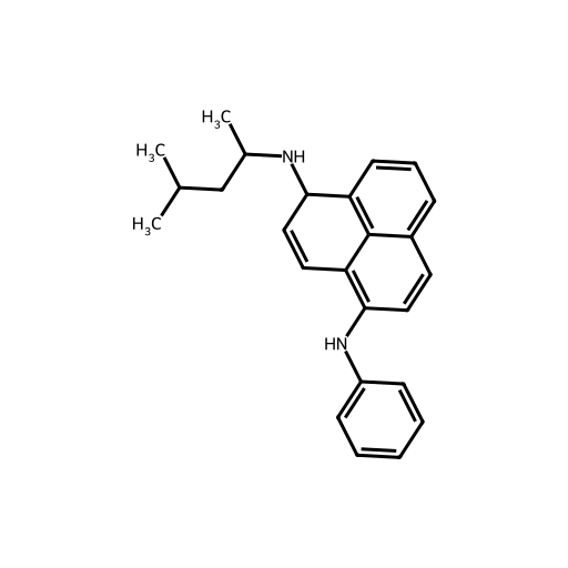 CC(C)CC(C)NC1C=Cc2c(Nc3ccccc3)ccc3cccc1c23